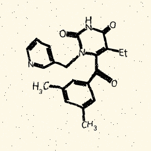 CCc1c(C(=O)c2cc(C)cc(C)c2)n(Cc2cccnc2)c(=O)[nH]c1=O